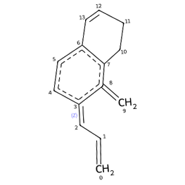 C=C/C=c1/ccc2c(c1=C)CCC=C2